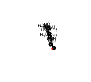 Cc1c(O[C@@H]2OC(C)(C)[C@H](CO)[C@@H](OC(N)=O)[C@H]2O)ccc2c(O)c(NC(=O)Nc3cccc(-c4ccccc4)c3)c(=O)oc12